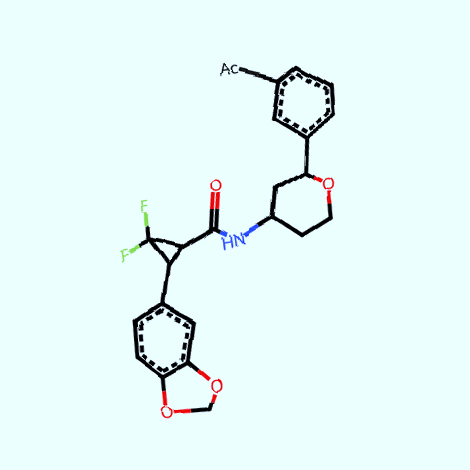 CC(=O)c1cccc(C2CC(NC(=O)C3C(c4ccc5c(c4)OCO5)C3(F)F)CCO2)c1